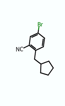 N#Cc1cc(Br)ccc1CC1CCCC1